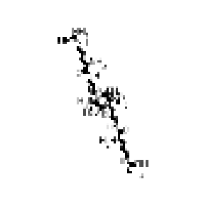 BC1(B)N(CCCNC(=O)[C@@H](N)CCCNC(=N)N)C(B)(B)C(B)(B)N(CCCNC(=O)[C@@H](N)CCCNC(=N)N)C1(B)B